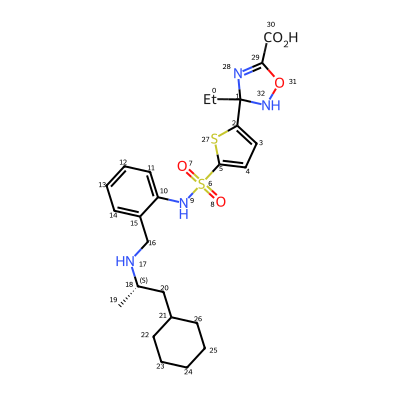 CCC1(c2ccc(S(=O)(=O)Nc3ccccc3CN[C@@H](C)CC3CCCCC3)s2)N=C(C(=O)O)ON1